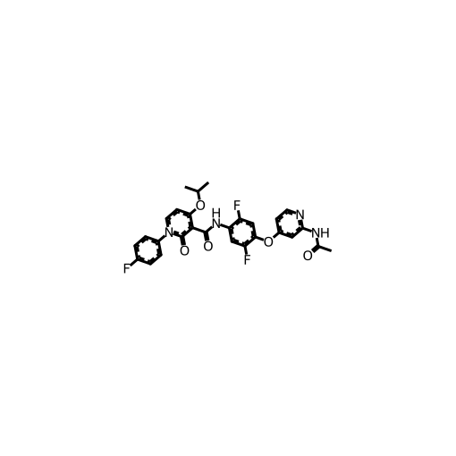 CC(=O)Nc1cc(Oc2cc(F)c(NC(=O)c3c(OC(C)C)ccn(-c4ccc(F)cc4)c3=O)cc2F)ccn1